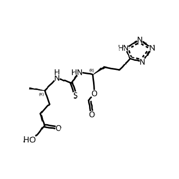 C[C@H](CCC(=O)O)NC(=S)N[C@@H](CCc1nnn[nH]1)OC=O